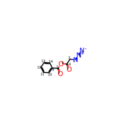 [N-]=[N+]=NCC(=O)OC(=O)c1ccccc1